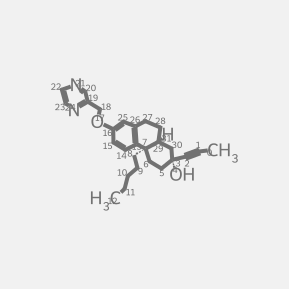 CC#C[C@@]1(O)CC[C@@]2(CCCCC)c3ccc(OCc4cnccn4)cc3CC[C@@H]2C1